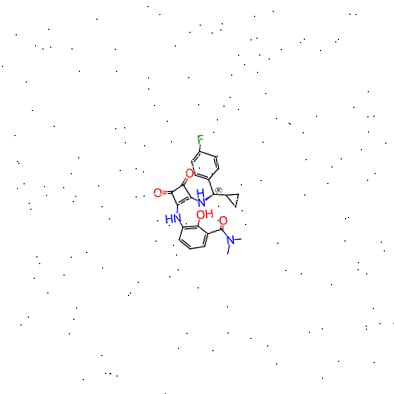 CN(C)C(=O)c1cccc(Nc2c(N[C@@H](c3ccc(F)cc3)C3CC3)c(=O)c2=O)c1O